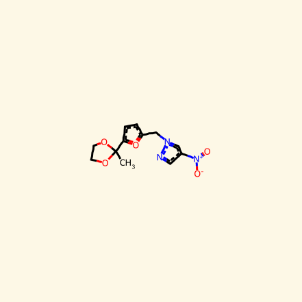 CC1(c2ccc(Cn3cc([N+](=O)[O-])cn3)o2)OCCO1